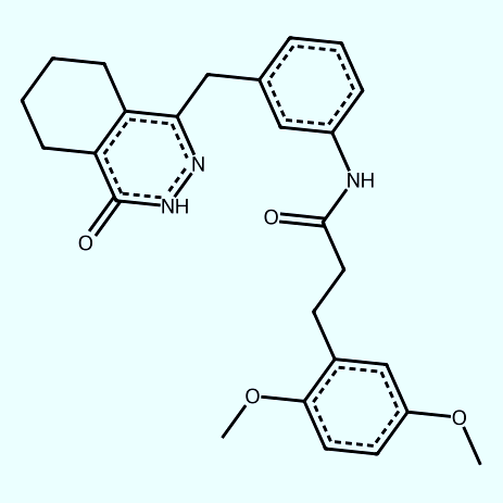 COc1ccc(OC)c(CCC(=O)Nc2cccc(Cc3n[nH]c(=O)c4c3CCCC4)c2)c1